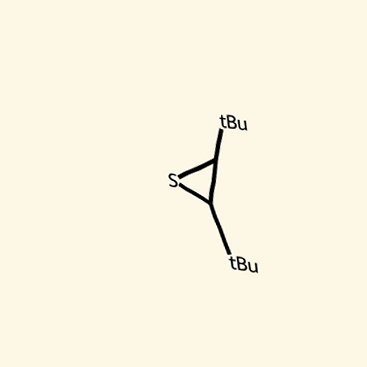 CC(C)(C)C1SC1C(C)(C)C